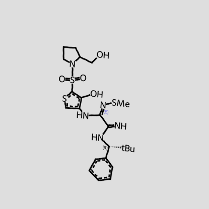 CS/N=C(/Nc1csc(S(=O)(=O)N2CCCC2CO)c1O)C(=N)N[C@@H](c1ccccc1)C(C)(C)C